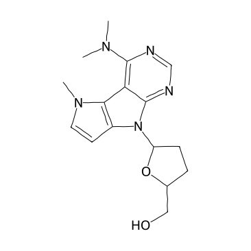 CN(C)c1ncnc2c1c1c(ccn1C)n2C1CCC(CO)O1